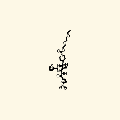 CCOCCOCCOC(=O)N1CCC(n2ncc3c(NC(=O)c4ccc([N+](=O)[O-])s4)nc(-c4cccs4)nc32)CC1